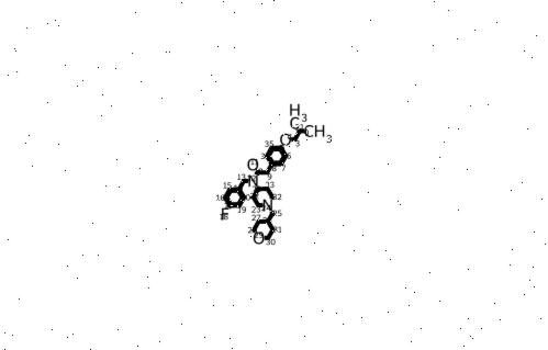 CC(C)COc1ccc(CC(=O)N(Cc2ccc(F)cc2)C2CCN(CC3CCOCC3)CC2)cc1